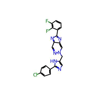 Fc1cccc(-c2nc3cnn(Cc4cnc(-c5ccc(Cl)cc5)[nH]4)cc-3n2)c1F